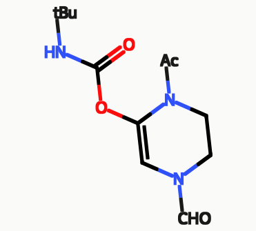 CC(=O)N1CCN(C=O)C=C1OC(=O)NC(C)(C)C